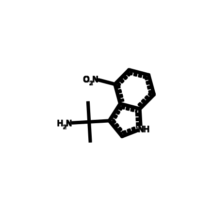 CC(C)(N)c1c[nH]c2cccc([N+](=O)[O-])c12